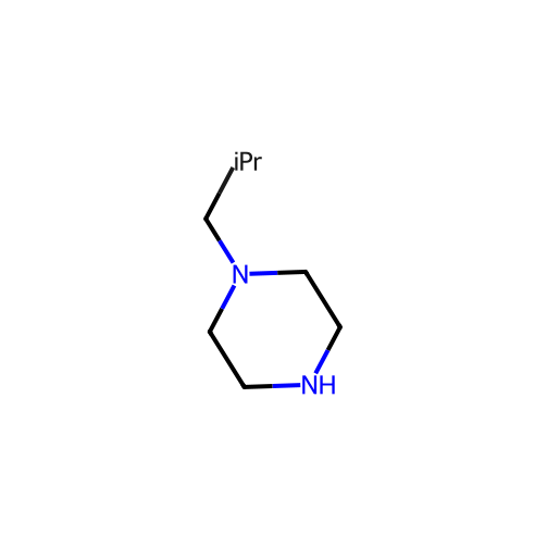 CC(C)CN1CCNCC1